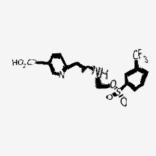 O=C(O)c1ccc(CCNCOS(=O)(=O)c2cccc(C(F)(F)F)c2)nc1